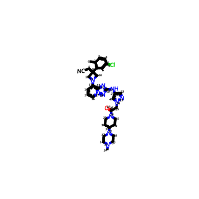 CC1C=CC(Cl)=CC1C1(CC#N)CN(c2cccn3nc(Nc4cnn(CC(=O)N5CCC(N6CCN(C)CC6)CC5)c4)nc23)C1